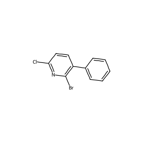 Clc1ccc(-c2ccccc2)c(Br)n1